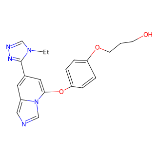 CCn1cnnc1-c1cc(Oc2ccc(OCCCO)cc2)n2cncc2c1